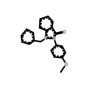 COc1ccc(-n2c(=O)c3ccccc3n2Cc2ccccc2)cc1